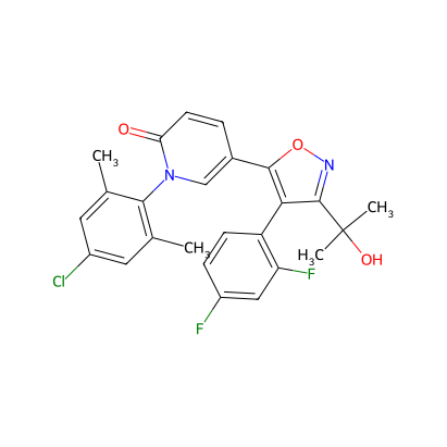 Cc1cc(Cl)cc(C)c1-n1cc(-c2onc(C(C)(C)O)c2-c2ccc(F)cc2F)ccc1=O